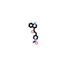 CC(=O)N1CCC(CC2OC2c2ccnc3ccccc23)CC1